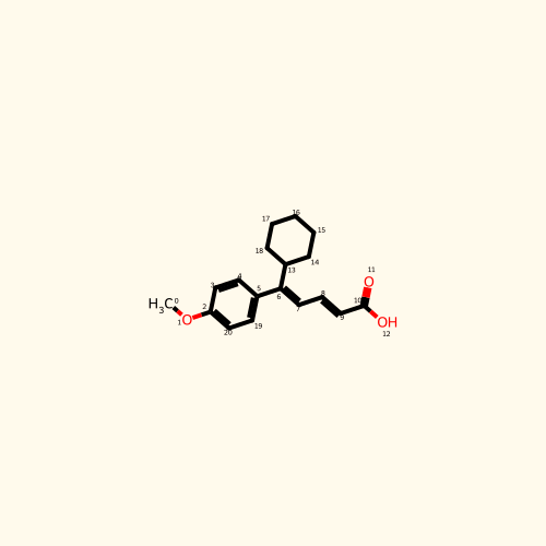 COc1ccc(/C(=C/C=C/C(=O)O)C2CCCCC2)cc1